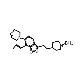 BN1CCC(CCc2noc3c(/C=C/C)c(N4CCOCC4)ccc23)CC1